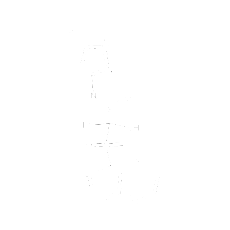 CC(C)(C)c1cc(NC(=O)C(C)(C)S(=O)(=O)c2cccc3ccccc23)no1